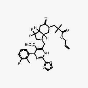 C=CCOC(=O)C(C)(C)CN1C[C@H]2[C@@H](CC1=O)C(F)(F)CN2CC1=C(C(=O)OCC)[C@H](c2cccc(F)c2C)N=C(c2nccs2)N1